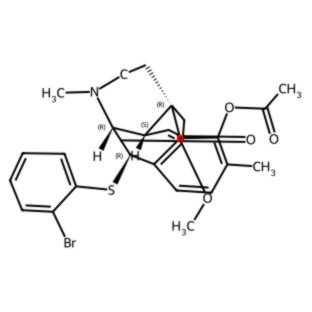 COC1=C[C@@H]2[C@@H]3[C@H](Sc4ccccc4Br)c4ccc(C)c(OC(C)=O)c4[C@]2(CCN3C)CC1=O